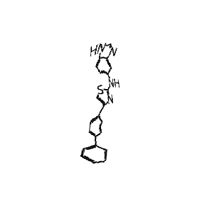 c1ccc(-c2ccc(-c3csc(Nc4ccc5[nH]cnc5c4)n3)cc2)cc1